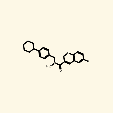 CN(Cc1ccc(C2CCCCC2)cc1)C(=O)C1=Cc2cc(F)ccc2OC1